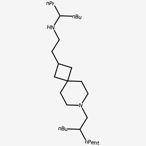 CCCCCC(CCCC)CN1CCC2(CC1)CC(CCNC(CCC)CCCC)C2